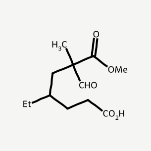 CCC(CCC(=O)O)CC(C)(C=O)C(=O)OC